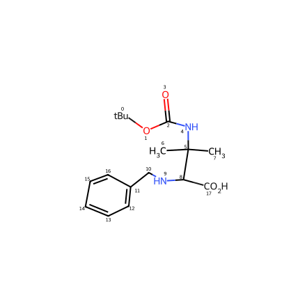 CC(C)(C)OC(=O)NC(C)(C)C(NCc1ccccc1)C(=O)O